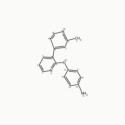 Cc1cc(-c2cccnc2Oc2ccc(N)cc2)ccn1